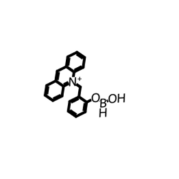 OBOc1ccccc1C[n+]1c2ccccc2cc2ccccc21